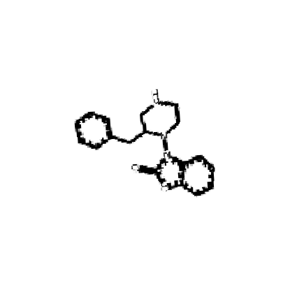 O=c1oc2ccccc2n1N1CCNCC1Cc1ccccc1